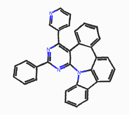 c1ccc(-c2nc(-c3cccnc3)c3c(n2)-n2c4ccccc4c4cccc(c42)-c2ccccc2-3)cc1